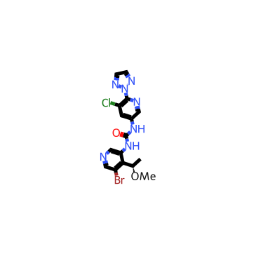 CO[C@@H](C)c1c(Br)cncc1NC(=O)Nc1cnc(-n2nccn2)c(Cl)c1